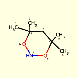 CC1(C)CC(C)(C)ONO1